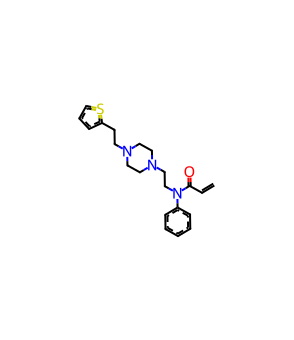 C=CC(=O)N(CCN1CCN(CCc2cccs2)CC1)c1ccccc1